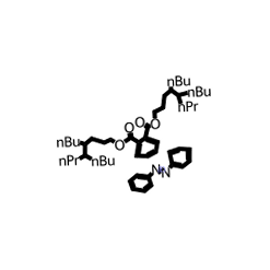 CCCCC(CCC)C(CCCC)CCCOC(=O)c1ccccc1C(=O)OCCCC(CCCC)C(CCC)CCCC.c1ccc(/N=N/c2ccccc2)cc1